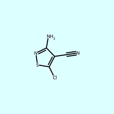 N#Cc1c(N)nsc1Cl